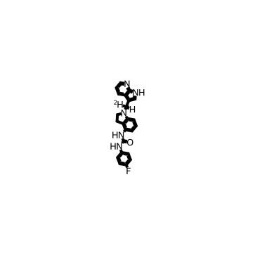 [2H]C([2H])(c1c[nH]c2ncccc12)N1CCc2c(NC(=O)Nc3ccc(F)cc3)cccc21